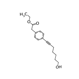 CCOC(=O)Cc1ccc(C#CCCCCCO)cc1